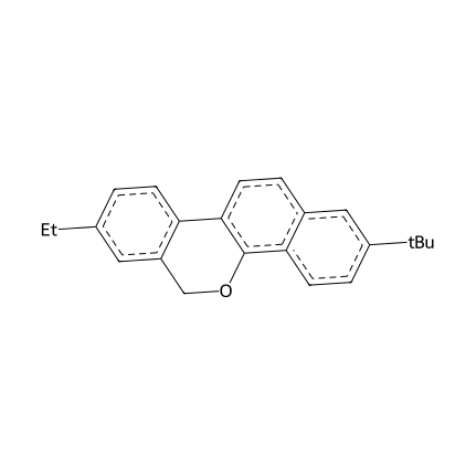 CCc1ccc2c(c1)COc1c-2ccc2cc(C(C)(C)C)ccc12